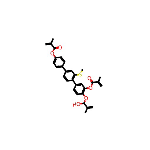 C=C(C)C(=O)Oc1ccc(-c2ccc(-c3ccc(OC(O)C(=C)C)c(OC(=O)C(=C)C)c3)c(SC)c2)cc1